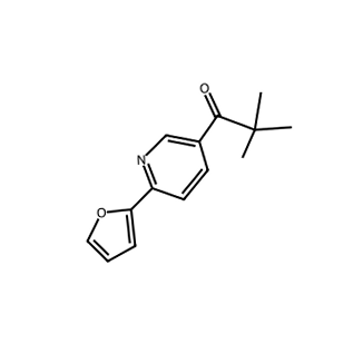 CC(C)(C)C(=O)c1ccc(-c2ccco2)nc1